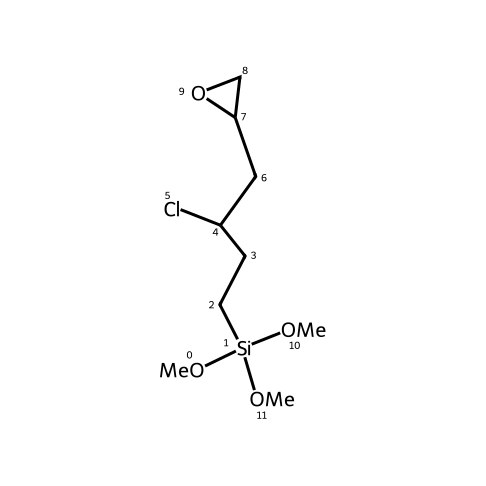 CO[Si](CCC(Cl)CC1CO1)(OC)OC